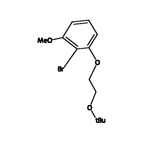 COc1cccc(OCCOC(C)(C)C)c1Br